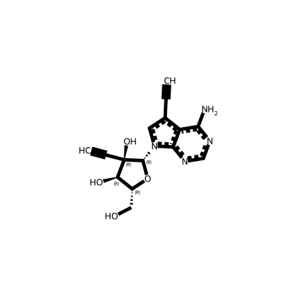 C#Cc1cn([C@@H]2O[C@H](CO)[C@@H](O)[C@]2(O)C#C)c2ncnc(N)c12